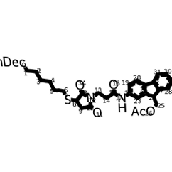 CCCCCCCCCCCCCCCCSC1CC(=O)N(CCC(=O)Nc2ccc3c(c2)C(COC(C)=O)c2ccccc2-3)C1=O